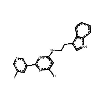 Fc1cncc(-c2nc(Cl)cc(NCCc3c[nH]c4ccccc34)n2)c1